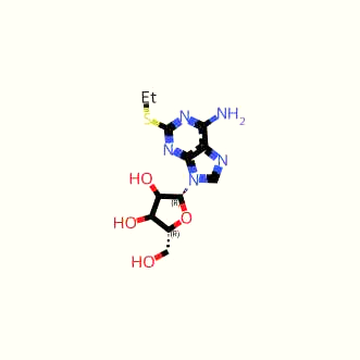 CCSc1nc(N)c2ncn([C@@H]3O[C@H](CO)C(O)C3O)c2n1